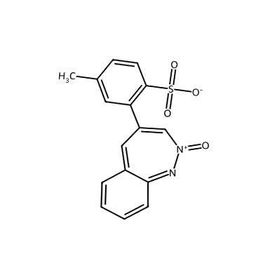 Cc1ccc(S(=O)(=O)[O-])c(-c2cc3ccccc3n[n+](=O)c2)c1